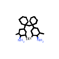 CCC1CC(C2(CC3(C4CC(C)C(N)C(CC)C4)CCCCC3)CCCCC2)CC(C)C1N